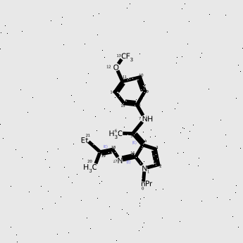 CCCN1C=CC(=C(/C)Nc2ccc(OC(F)(F)F)cc2)/C1=N\C=C(/C)CC